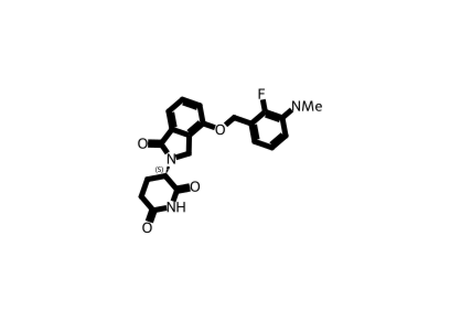 CNc1cccc(COc2cccc3c2CN([C@H]2CCC(=O)NC2=O)C3=O)c1F